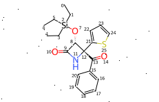 CC[Si](CC)(CC)O[C@H]1C(=O)N[C@@]1(C(=O)c1ccccc1)c1cccs1